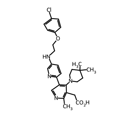 Cc1ncc(-c2ccc(NCCOc3ccc(Cl)cc3)cn2)c(N2CCC(C)(C)CC2)c1CC(=O)O